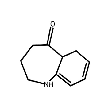 O=C1CCCNC2=CC=CCC12